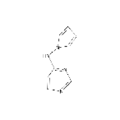 c1ccn(Nc2ccncn2)c1